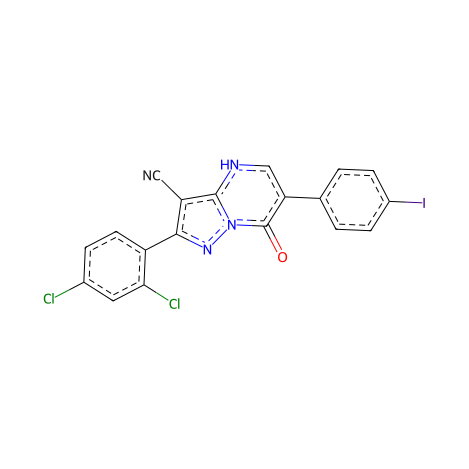 N#Cc1c(-c2ccc(Cl)cc2Cl)nn2c(=O)c(-c3ccc(I)cc3)c[nH]c12